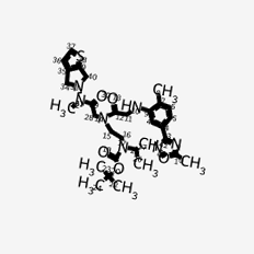 Cc1nc(-c2ccc(C)c(NCC(=O)N(CCN(C(=O)OC(C)(C)C)C(C)C)CC(=O)N(C)N3Cc4ccsc4C3)c2)no1